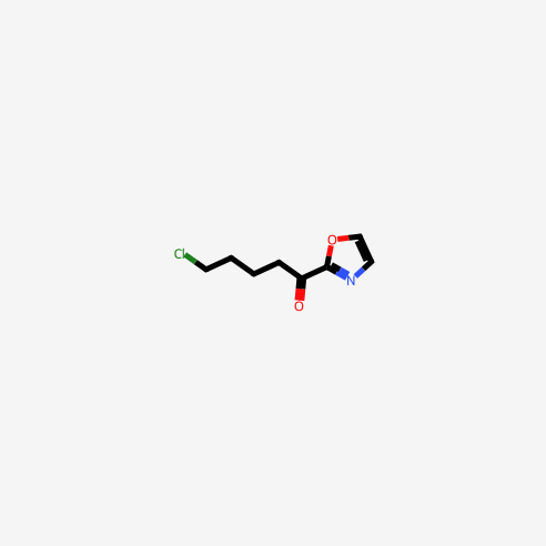 O=C(CCCCCl)c1ncco1